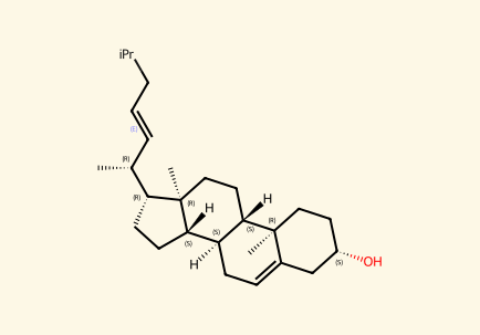 CC(C)C/C=C/[C@@H](C)[C@H]1CC[C@H]2[C@@H]3CC=C4C[C@@H](O)CC[C@]4(C)[C@H]3CC[C@]12C